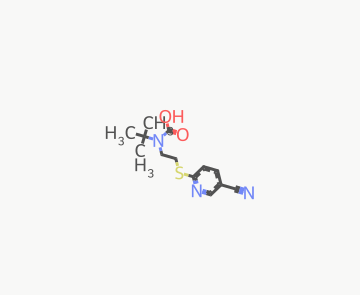 CC(C)(C)N(CCSc1ccc(C#N)cn1)C(=O)O